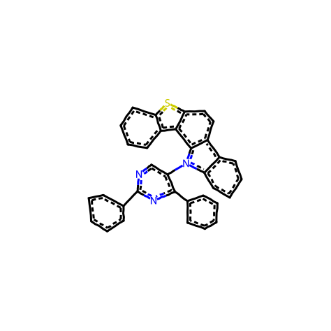 c1ccc(-c2ncc(-n3c4ccccc4c4ccc5sc6ccccc6c5c43)c(-c3ccccc3)n2)cc1